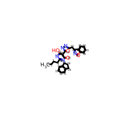 CCCCc1nc(O)c(-c2nnc(Cc3noc4ccccc34)o2)c(=O)n1[C@@H]1CCc2ccccc21